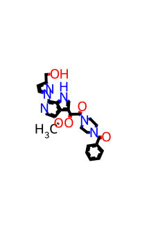 COc1cnc(-n2ccc(CO)n2)c2[nH]cc(C(=O)C(=O)N3CCN(C(=O)c4ccccc4)CC3)c12